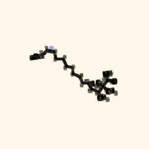 CCCCCCCC/C=C\CCCCCCCCCC(C)C(C)(C)C([NH])=O